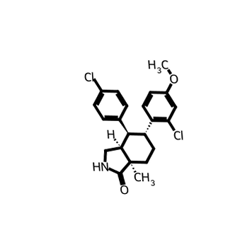 COc1ccc([C@@H]2CC[C@@]3(C)C(=O)NC[C@H]3[C@H]2c2ccc(Cl)cc2)c(Cl)c1